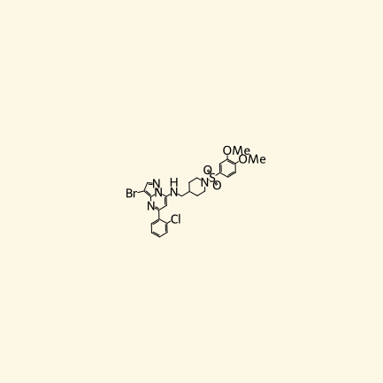 COc1ccc(S(=O)(=O)N2CCC(CNc3cc(-c4ccccc4Cl)nc4c(Br)cnn34)CC2)cc1OC